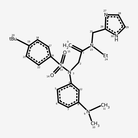 C=C(CN(c1cccc(N(C)C)c1)S(=O)(=O)c1ccc(C(C)(C)C)cc1)N(CC)Cc1ncc[nH]1